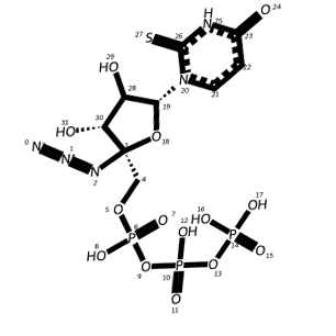 [N-]=[N+]=N[C@]1(COP(=O)(O)OP(=O)(O)OP(=O)(O)O)O[C@@H](n2ccc(=O)[nH]c2=S)C(O)[C@H]1O